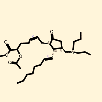 CCCCCC/C=C/[C@H]1[C@H](CN(CCC)CCC)CC(=O)[C@@H]1C/C=C\CCC(OC(C)=O)C(=O)OC